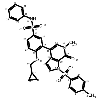 Cc1ccc(S(=O)(=O)n2ccc3c(-c4cc(S(=O)(=O)Nc5ccccc5)ccc4OCC4CC4)cn(C)c(=O)c32)cc1